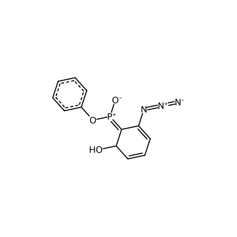 [N-]=[N+]=NC1=CC=CC(O)C1=[P+]([O-])Oc1ccccc1